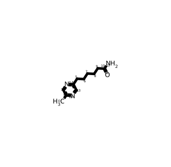 Cc1cnc(CCCCCC(N)=O)cn1